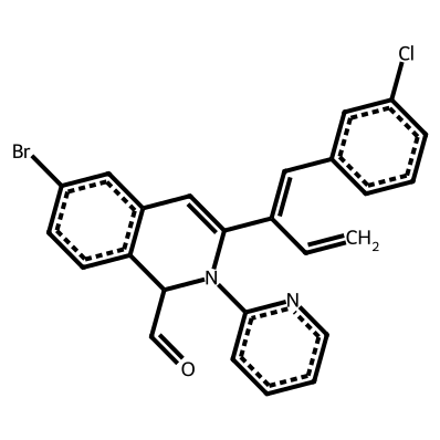 C=CC(=Cc1cccc(Cl)c1)C1=Cc2cc(Br)ccc2C(C=O)N1c1ccccn1